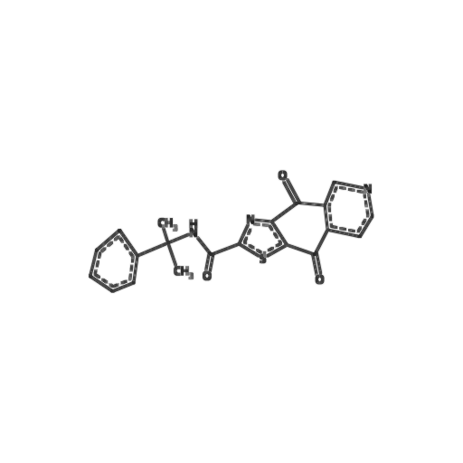 CC(C)(NC(=O)c1nc2c(s1)C(=O)c1ccncc1C2=O)c1ccccc1